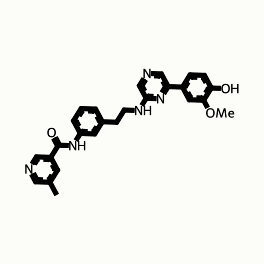 COc1cc(-c2cncc(NCCc3cccc(NC(=O)c4cncc(C)c4)c3)n2)ccc1O